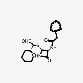 O=CC(S[C@H]1NC(=O)[C@H]1NC(=O)Cc1ccccc1)[C@H]1CCCCO1